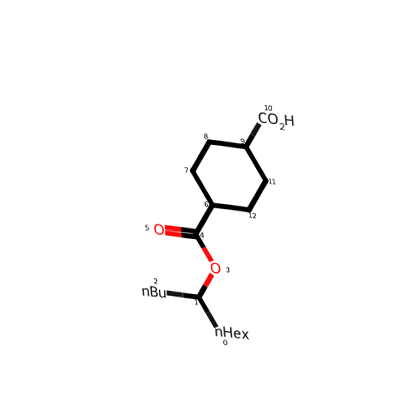 CCCCCCC(CCCC)OC(=O)C1CCC(C(=O)O)CC1